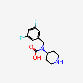 O=C(O)N(Cc1cc(F)cc(F)c1)C1CCNCC1